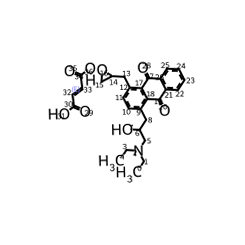 CCN(CC)CC(O)Cc1ccc(CC2CO2)c2c1C(=O)c1ccccc1C2=O.O=C(O)/C=C/C(=O)O